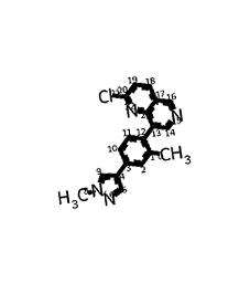 Cc1cc(-c2cnn(C)c2)ccc1-c1cncc2ccc(Cl)nc12